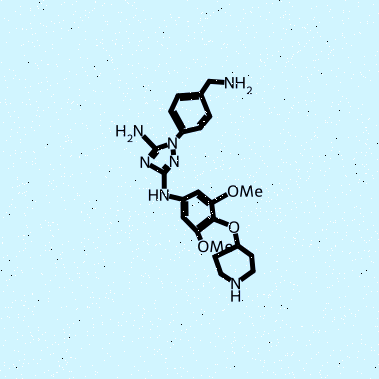 COc1cc(Nc2nc(N)n(-c3ccc(CN)cc3)n2)cc(OC)c1OC1CCNCC1